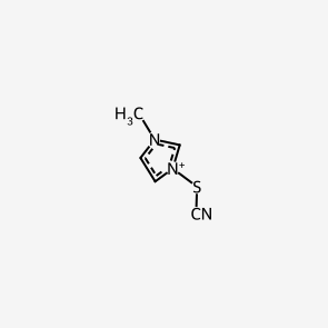 Cn1cc[n+](SC#N)c1